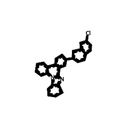 Clc1ccc2ccc(-c3ccc4c5ccccc5n5c6ccccc6nc5c4c3)cc2c1